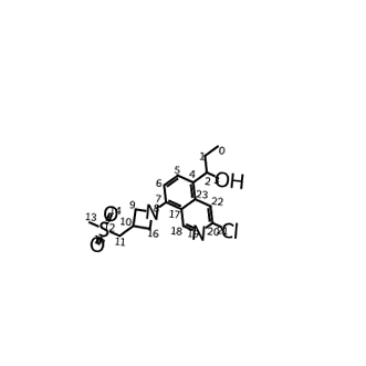 CCC(O)c1ccc(N2CC(CS(C)(=O)=O)C2)c2cnc(Cl)cc12